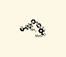 COC(=O)c1ccc(N2CCN(C[C@@H]3CCCN(c4nc(N)n5nc(-c6ccco6)nc5n4)C3)CC2)c(F)c1F